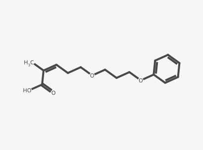 CC(=CCCOCCCOc1ccccc1)C(=O)O